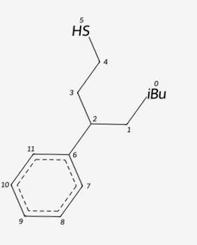 CCC(C)CC(CCS)c1ccccc1